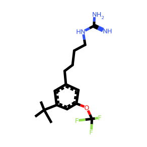 CC(C)(C)c1cc(CCCCNC(=N)N)cc(OC(F)(F)F)c1